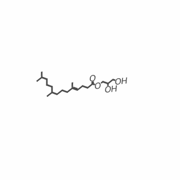 C/C(=C\CCC(=O)OCC(O)CO)CCCC(C)CCCC(C)C